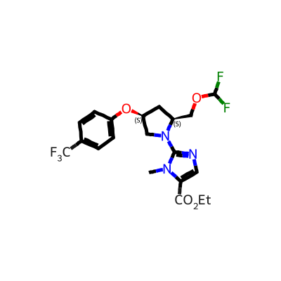 CCOC(=O)c1cnc(N2C[C@@H](Oc3ccc(C(F)(F)F)cc3)C[C@H]2COC(F)F)n1C